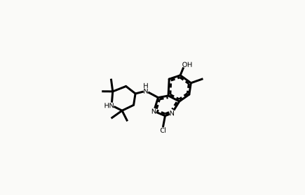 Cc1cc2nc(Cl)nc(NC3CC(C)(C)NC(C)(C)C3)c2cc1O